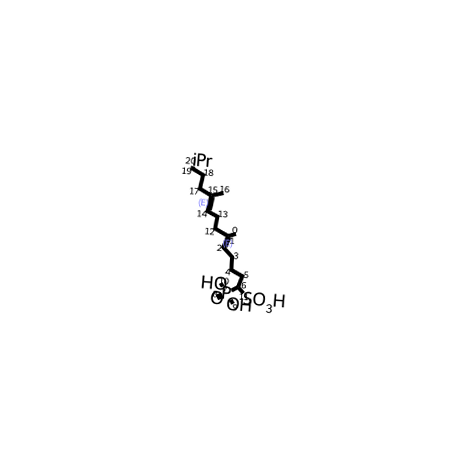 C/C(=C\CCCC(P(=O)(O)O)S(=O)(=O)O)CC/C=C(\C)CCCC(C)C